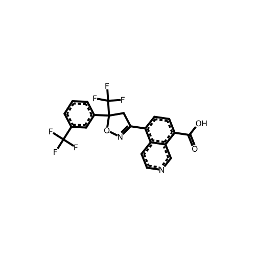 O=C(O)c1ccc(C2=NOC(c3cccc(C(F)(F)F)c3)(C(F)(F)F)C2)c2ccncc12